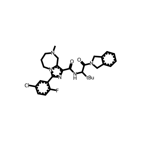 CN1CCCn2c(-c3cc(Cl)ccc3F)nc(C(=O)NC(C(=O)N3Cc4ccccc4C3)C(C)(C)C)c2C1